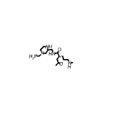 CNCCC[C@H](CC(C)=O)C(=O)NCC1CN(CP)CCN1